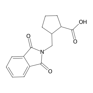 O=C(O)C1CCCC1CN1C(=O)c2ccccc2C1=O